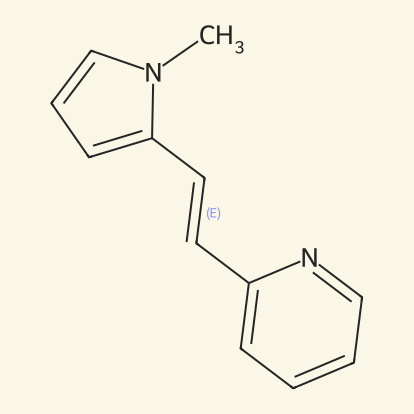 Cn1cccc1/C=C/c1ccccn1